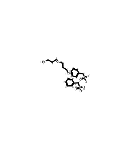 CCC[CH2][Sn+2][CH2]CCC.O=S(=O)([O-])Cc1ccccc1.O=S(=O)([O-])Cc1ccccc1